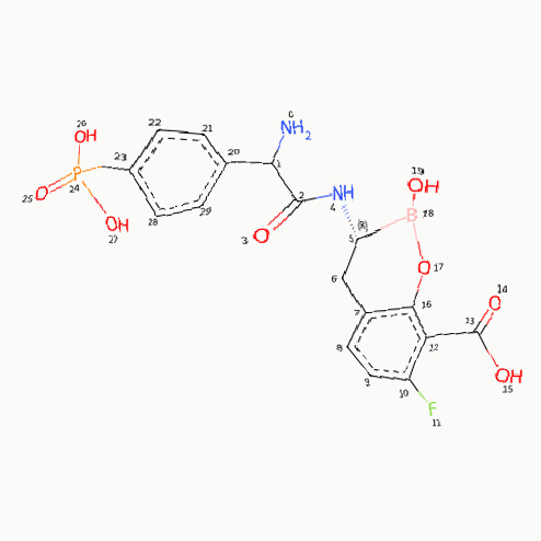 NC(C(=O)N[C@H]1Cc2ccc(F)c(C(=O)O)c2OB1O)c1ccc(P(=O)(O)O)cc1